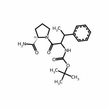 CC(c1ccccc1)C(NC(=O)OC(C)(C)C)C(=O)N1CCC[C@H]1C(N)=O